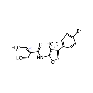 C=C/C(=C\C)C(=O)Nc1onc(-c2ccc(Br)cc2)c1C(=O)O